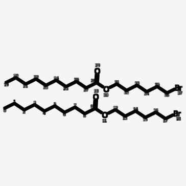 CCCCCCCCCC(=O)OCCCCCCBr.CCCCCCCCCC(=O)OCCCCCCBr